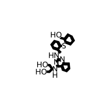 OCc1ccccc1Sc1ccccc1CNc1nc(NC(CO)CO)c2ccccc2n1